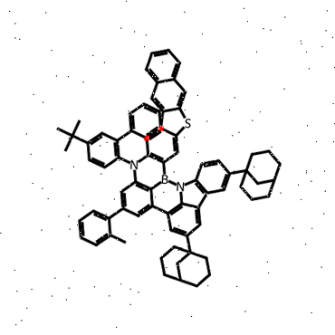 Cc1ccccc1-c1cc2c3c(c1)N(c1ccc(C(C)(C)C)cc1-c1ccccc1)c1cc4c(cc1B3n1c3ccc(C56CCCC(CCC5)C6)cc3c3cc(C56CCCC(CCC5)C6)cc-2c31)sc1cc2ccccc2cc14